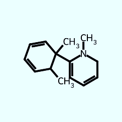 CC1C=CC=CC1(C)C1=CC=CCN1C